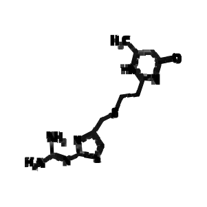 Cc1cc(=O)nc(CCSCc2csc(N=C(N)N)n2)[nH]1